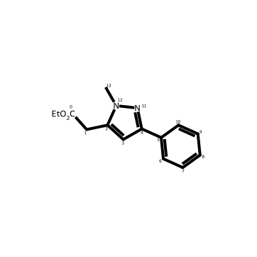 CCOC(=O)Cc1cc(-c2ccccc2)nn1C